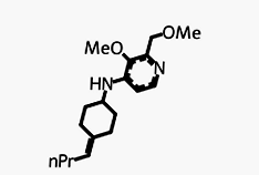 CCCC=C1CCC(Nc2ccnc(COC)c2OC)CC1